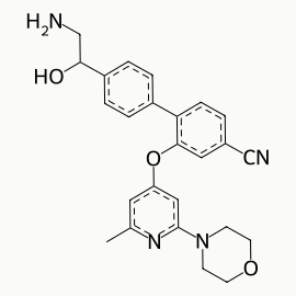 Cc1cc(Oc2cc(C#N)ccc2-c2ccc(C(O)CN)cc2)cc(N2CCOCC2)n1